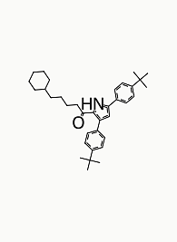 CC(C)(C)c1ccc(-c2cc(-c3ccc(C(C)(C)C)cc3)c(C(=O)CCCCC3CCCCC3)[nH]2)cc1